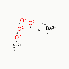 [Ba+2].[O-2].[O-2].[O-2].[O-2].[Sr+2].[Ti+4]